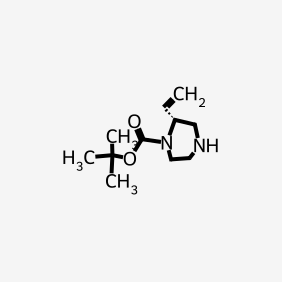 C=C[C@@H]1CNCCN1C(=O)OC(C)(C)C